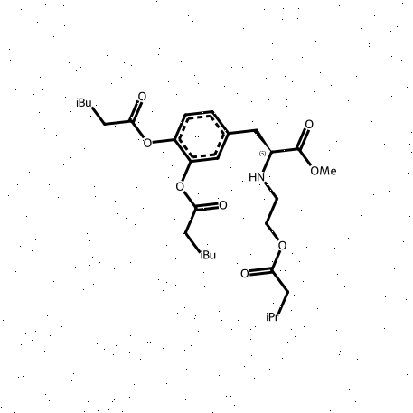 CCC(C)CC(=O)Oc1ccc(C[C@H](NCCOC(=O)CC(C)C)C(=O)OC)cc1OC(=O)CC(C)CC